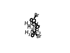 CC1(C)C(/C=C/C2=C(N)C(=C/C=C3/N(/C=C/Br)c4ccccc4C3(C)C)/CCC2)=CCC(/C=C/Br)c2ccccc21